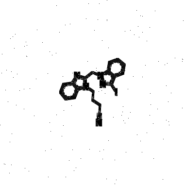 N#CCCCn1c(Cn2nc(I)c3ccccc32)nc2ccccc21